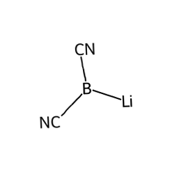 [Li][B](C#N)C#N